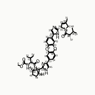 COC(=O)N[C@H](C(=O)N1C(c2nc(-c3ccc4c(c3)Oc3ccc(-c5cnc([C@@H]6C=C(C)CN6C(=O)[C@@H](C)C(C)C)[nH]5)cc3O4)c[nH]2)[C@@H]2CC[C@H]1C2)C(C)C